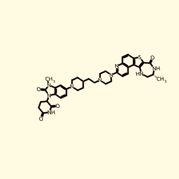 C[C@@H]1CNc2c(sc3ccc4nc(N5CCN(CCC6CCN(c7ccc8c(c7)n(C)c(=O)n8C7CCC(=O)NC7=O)CC6)CC5)ccc4c23)C(=O)N1